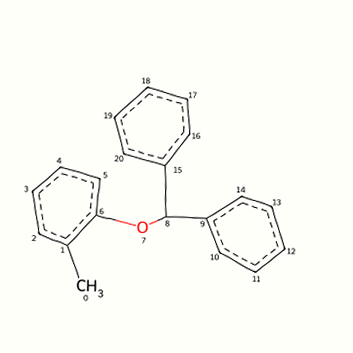 Cc1ccccc1OC(c1ccccc1)c1ccccc1